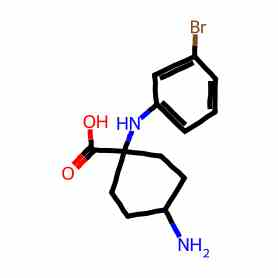 NC1CCC(Nc2cccc(Br)c2)(C(=O)O)CC1